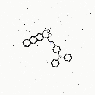 COCc1cc2cc3ccccc3cc2cc1C(=O)/C=C/c1ccc(N(c2ccccc2)c2ccccc2)cc1